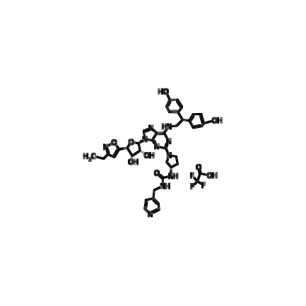 CCc1cc([C@H]2O[C@@H](n3cnc4c(NCC(c5ccc(O)cc5)c5ccc(O)cc5)nc(N5CC[C@@H](NC(=O)NCc6ccncc6)C5)nc43)[C@H](O)[C@@H]2O)on1.O=C(O)C(F)(F)F